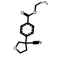 CCOC(=O)c1ccc(C2(C#N)CCOC2)cc1